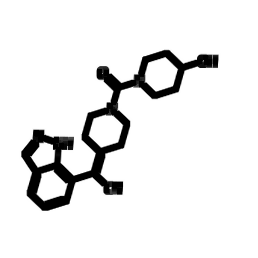 N#CC(=C1CCN(C(=O)N2CCC(O)CC2)CC1)c1cccc2cn[nH]c12